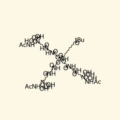 CC(=O)NC1CN(CCCCC(=O)NCCCNC(=O)CCOCC(COCCC(=O)NCCCNC(=O)CCCCN2CC(NC(C)=O)C(O)[C@@H](O)C2CO)(COCCC(=O)NCCCNC(=O)CCCCN2CC(NC(C)=O)C(O)[C@@H](O)C2CO)NC(=O)CCCCCCCCCCC(=O)C(C)(C)C)C(CO)[C@H](O)C1O